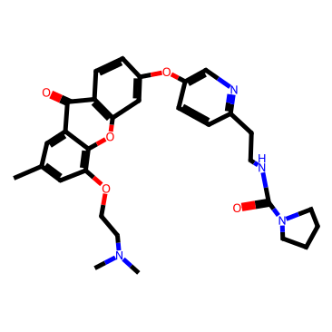 Cc1cc(OCCN(C)C)c2oc3cc(Oc4ccc(CCNC(=O)N5CCCC5)nc4)ccc3c(=O)c2c1